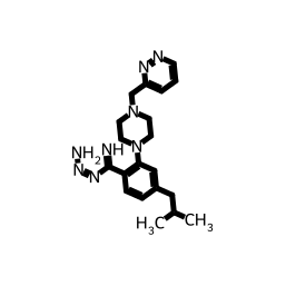 CC(C)Cc1ccc(C(=N)/N=N\N)c(N2CCN(Cc3cccnn3)CC2)c1